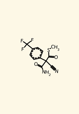 CSC(=O)C(C#N)(C(N)=O)c1ccc(C(F)(F)F)cc1